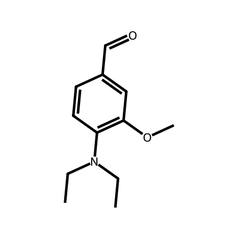 CCN(CC)c1ccc(C=O)cc1OC